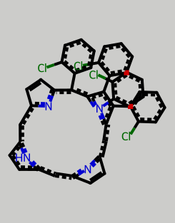 Clc1ccccc1-c1c(-c2ccccc2Cl)c2c(-c3ccccc3Cl)c3nc(cc4ccc(cc5nc(cc1n2-c1ccccc1Cl)C=C5)[nH]4)C=C3